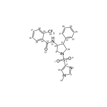 Cn1cnc(S(=O)(=O)N2CC(NC(=O)c3ccccc3C(F)(F)F)C(c3ccccc3)C2)c1